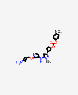 CC(C)(C)n1nc([C@H]2CC[C@@H](OC(=O)Oc3ccc([N+](=O)[O-])cc3)C2)cc1Nc1ccnc(OCC23CC(N)(C2)C3)c1